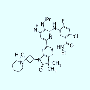 CCNC(=O)c1cc(Nc2nc(-c3ccc4c(c3)N([C@H]3C[C@@](C)(N5CCCCC5)C3)C(=O)C4(C)C)cc3ncn(C(C)C)c23)c(F)cc1Cl